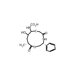 C[C@@H]1CC(O)C(NC(=O)O)CCC(=O)N[C@H](c2ccccc2)COC1=O